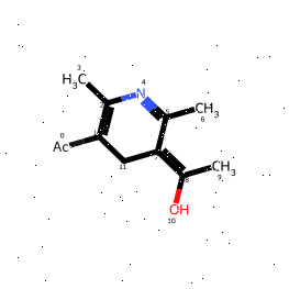 CC(=O)C1=C(C)N=C(C)/C(=C(\C)O)C1